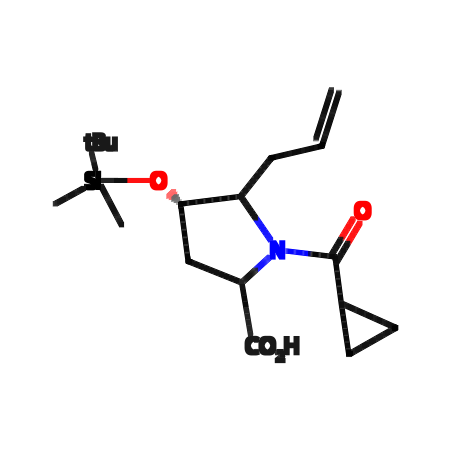 C=CCC1[C@@H](O[Si](C)(C)C(C)(C)C)CC(C(=O)O)N1C(=O)C1CC1